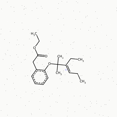 CC/C=C(\CC)C(C)(C)Oc1ccccc1CC(=O)OCC